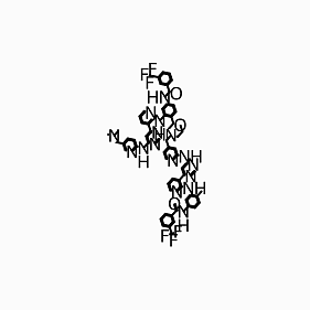 Cc1ccc(NC(=O)c2cccc(C(F)(F)F)c2)cc1Nc1ncccc1-c1cc(Nc2cc(CN3CCOC(c4ccc(NC(=O)c5cccc(C(F)(F)F)c5)cc4Nc4ncccc4-c4cc(Nc5ccc(CN(C)C)cn5)ncn4)C3)ccn2)ncn1